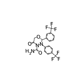 NC(=O)N1C(=O)COC(c2cccc(C(F)(F)F)c2)N1c1ccc(C(F)(F)F)cc1